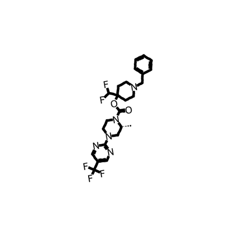 C[C@@H]1CN(c2ncc(C(F)(F)F)cn2)CCN1C(=O)OC1(C(F)F)CCN(Cc2ccccc2)CC1